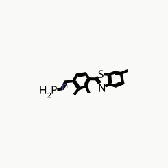 Cc1ccc2nc(-c3ccc(/C=C/P)c(C)c3C)sc2c1